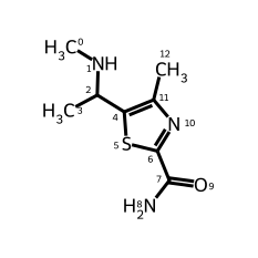 CNC(C)c1sc(C(N)=O)nc1C